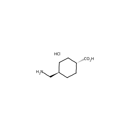 Cl.NC[C@H]1CC[C@H](C(=O)O)CC1